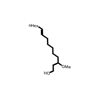 CCCCCC/C=C/CCCCCC(CCO)OC